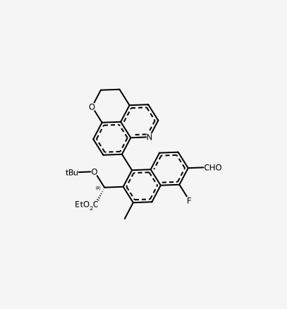 CCOC(=O)[C@H](OC(C)(C)C)c1c(C)cc2c(F)c(C=O)ccc2c1-c1ccc2c3c(ccnc13)CCO2